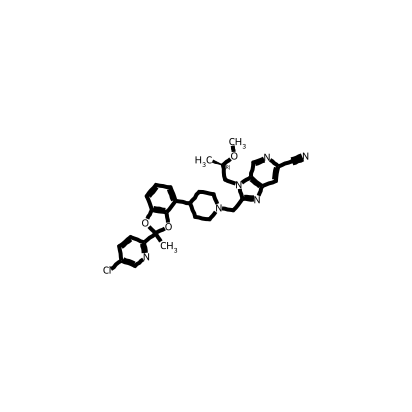 CO[C@H](C)Cn1c(CN2CCC(c3cccc4c3OC(C)(c3ccc(Cl)cn3)O4)CC2)nc2cc(C#N)ncc21